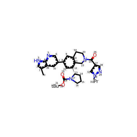 Cc1c[nH]c2ncc(-c3cc4c(c([C@@H]5CCCN5C(=O)OC(C)(C)C)c3)CN(C(=O)c3cnn(C(C)C)c3)CC4)cc12